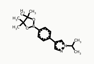 CC(C)n1cc(-c2ccc(B3OC(C)(C)C(C)(C)O3)cc2)cn1